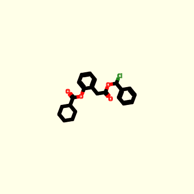 O=C(Cc1ccccc1OC(=O)C1CCCCC1)OC(Cl)c1ccccc1